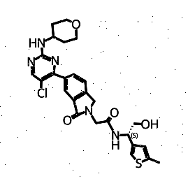 Cc1cc([C@@H](CO)NC(=O)CN2Cc3ccc(-c4nc(NC5CCOCC5)ncc4Cl)cc3C2=O)cs1